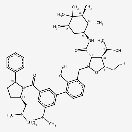 COc1c(CN2O[C@@H](CO)[C@H]([C@H](C)O)[C@H]2C(=O)N[C@H]2C[C@@H](C)C(C)(C)[C@@H](C)[C@@H]2C)cccc1-c1cc(C(=O)N2[C@@H](CN(C)C)CC[C@H]2c2ccccc2)cc(N(C)C)c1